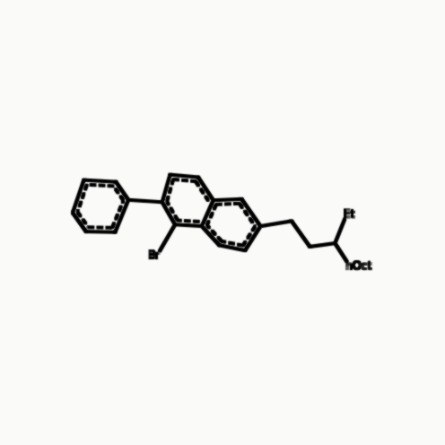 CCCCCCCCC(CC)CCc1ccc2c(Br)c(-c3ccccc3)ccc2c1